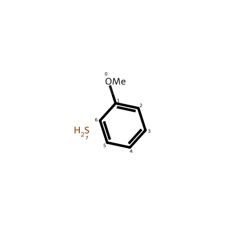 COc1ccccc1.S